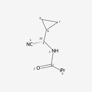 CC(C)C(=O)N[C@H](C#N)C1CC1